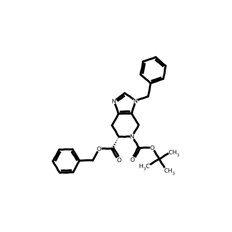 CC(C)(C)OC(=O)N1Cc2c(ncn2Cc2ccccc2)C[C@H]1C(=O)OCc1ccccc1